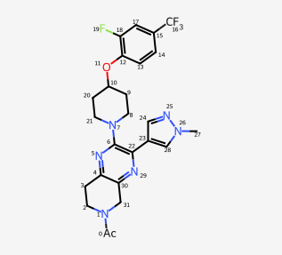 CC(=O)N1CCc2nc(N3CCC(Oc4ccc(C(F)(F)F)cc4F)CC3)c(-c3cnn(C)c3)nc2C1